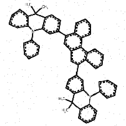 CC1(C)c2ccccc2N(c2ccccc2)c2cc(-c3cc4cc(-c5ccc6c(c5)N(c5ccccc5)c5ccccc5C6(C)C)c5ccccc5c4c4ccccc34)ccc21